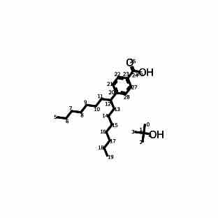 CC(C)(C)O.CCCCCCCC(CCCCCCC)c1ccc(C(=O)O)cc1